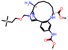 COC(=O)Nc1ccc2c(c1)N[C@@H](C(=O)OC)CCCC[C@H](N)c1nc-2cn1COCC[Si](C)(C)C